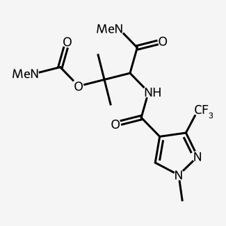 CNC(=O)OC(C)(C)C(NC(=O)c1cn(C)nc1C(F)(F)F)C(=O)NC